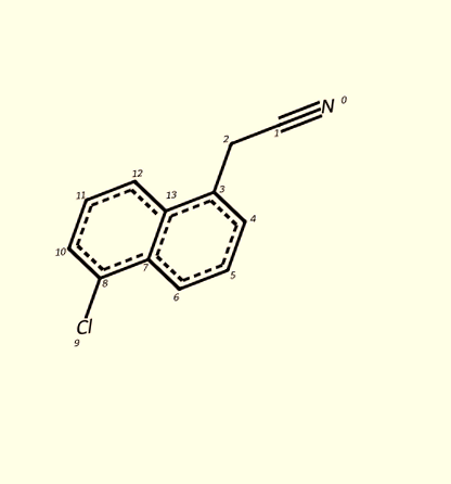 N#CCc1cccc2c(Cl)cccc12